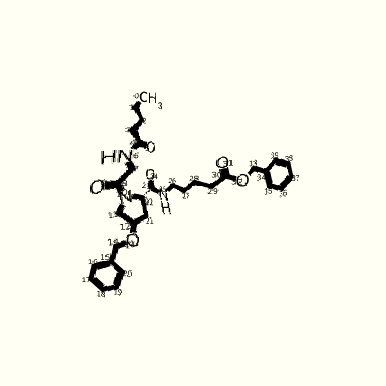 CCCCC(=O)NCC(=O)N1CC(OCc2ccccc2)C[C@H]1C(=O)NCCCCC(=O)OCc1ccccc1